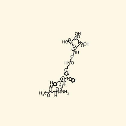 CCC(=O)NCCNC(=O)/N=C(/N)NCCC[C@@H](NC(=O)[C@H](c1ccc(OCCCNC(=O)CCOCCNC(=O)CN2CCN(CC(=O)O)CCN(CC(=O)O)CCN(CC(=O)O)CC2)cc1)N1Cc2ccccc2C1)C(=O)NCc1ccc(O)cc1